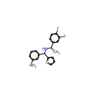 CC(NC(c1cccc(N)c1)c1cccs1)c1ccc(F)c(F)c1